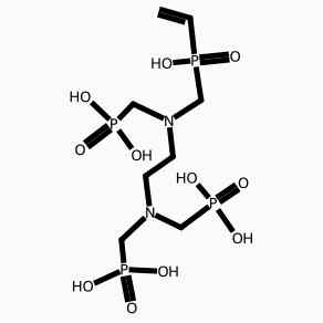 C=CP(=O)(O)CN(CCN(CP(=O)(O)O)CP(=O)(O)O)CP(=O)(O)O